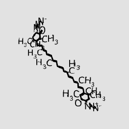 CC1=C(/C=C/C(C)=C/C=C/C(C)=C/C=C/C=C(C)/C=C/C=C(C)/C=C/C2=C(C)C(=O)C(N=[N+]=[N-])CC2(C)C)C(C)(C)CC(N=[N+]=[N-])C1=O